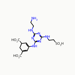 NCCNc1nc(NCCS(=O)(=O)O)nc(NC2=CC(C(=O)O)CC(C(=O)O)=C2)n1